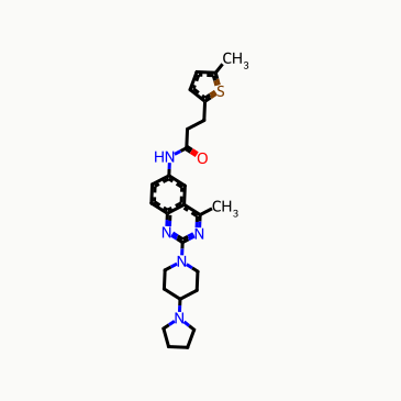 Cc1ccc(CCC(=O)Nc2ccc3nc(N4CCC(N5CCCC5)CC4)nc(C)c3c2)s1